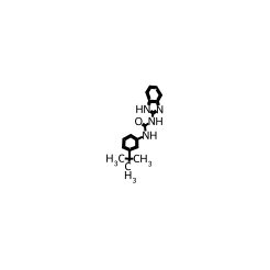 CC(C)(C)c1cccc(NC(=O)Nc2nc3ccccc3[nH]2)c1